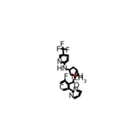 C[C@H]1C2CC(Nc3ccc(C(F)(F)F)cn3)C1N(C(=O)c1c(F)cccc1-c1ncccn1)C2